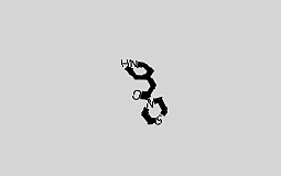 O=C(CC1CCNCC1)N1CCSCC1